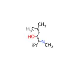 C=N/C(=C(/O)C=C(C)C)C(C)C